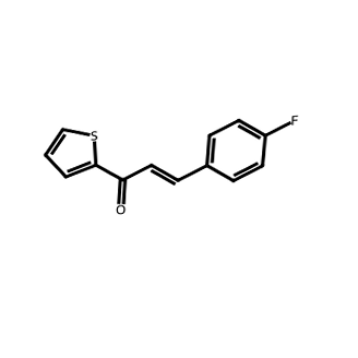 O=C(C=Cc1ccc(F)cc1)c1cccs1